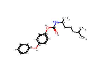 CC(C)CCCC(C)NC(=O)Oc1ccc(Oc2ccccc2)cc1